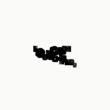 CC(O)(CN1CCc2nc(Oc3ccc(F)cc3)ccc2C1)Cn1cc([N+](=O)[O-])nc1Cl